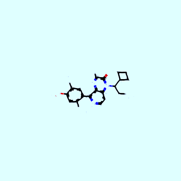 CCC(C1CCC1)n1c(=O)c(C)nc2c(-c3cc(C)c(OC)cc3C)nccc21